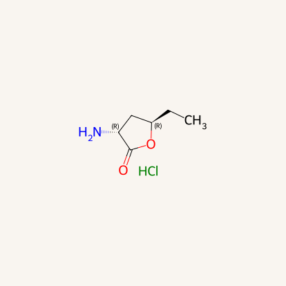 CC[C@@H]1C[C@@H](N)C(=O)O1.Cl